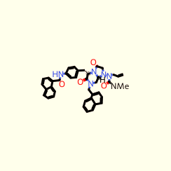 C=CCN(C(=O)NC)N1CC(=O)N2[C@@H](Cc3ccc(NC(=O)c4cccc5ccccc45)cc3)C(=O)N(Cc3cccc4ccccc34)C[C@@H]21